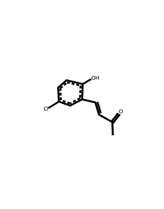 CC(=O)C=Cc1cc(Cl)ccc1O